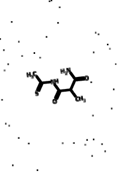 C[C](C(N)=O)C(=O)NC(C)=S